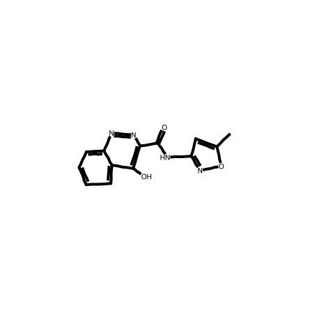 Cc1cc(NC(=O)c2nnc3ccccc3c2O)no1